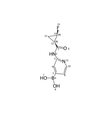 O=C(Nc1cc(B(O)O)ccn1)[C@H]1C[C@H]1F